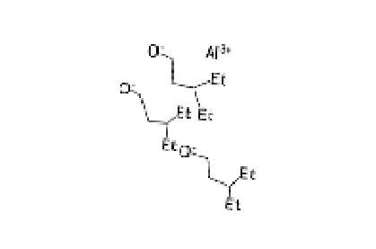 CCC(CC)CC[O-].CCC(CC)CC[O-].CCC(CC)CC[O-].[Al+3]